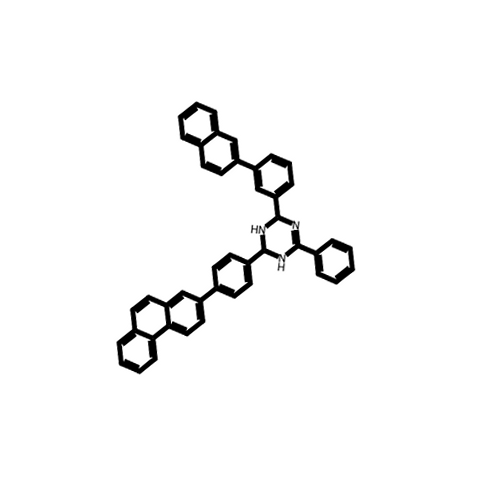 c1ccc(C2=NC(c3cccc(-c4ccc5ccccc5c4)c3)NC(c3ccc(-c4ccc5c(ccc6ccccc65)c4)cc3)N2)cc1